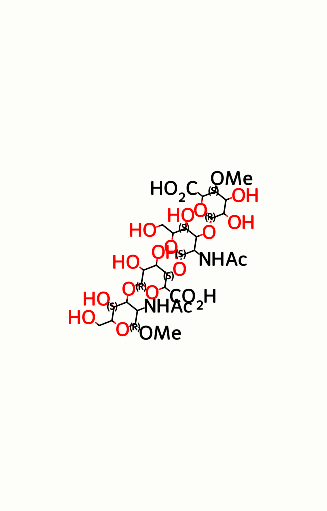 CO[C@@H]1OC(CO)[C@@H](O)C(O[C@@H]2OC(C(=O)O)[C@@H](O[C@@H]3OC(CO)[C@@H](O)C(O[C@@H]4OC(C(=O)O)[C@@H](OC)C(O)C4O)C3NC(C)=O)C(O)C2O)C1NC(C)=O